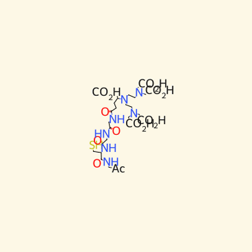 CC(=O)CNC(=O)C(CS)NC(=O)CNC(=O)CNC(=O)CC[C@@H](C(=O)O)N(CCN(CC(=O)O)CC(=O)O)CCN(CC(=O)O)CC(=O)O